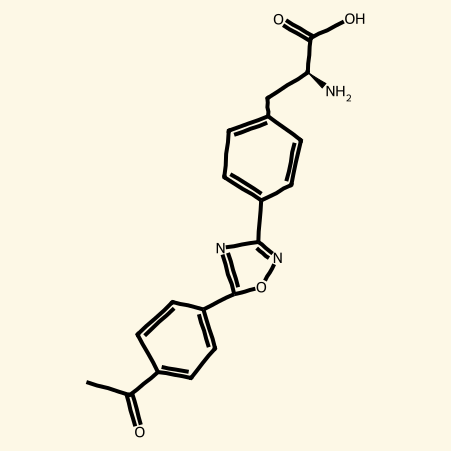 CC(=O)c1ccc(-c2nc(-c3ccc(C[C@H](N)C(=O)O)cc3)no2)cc1